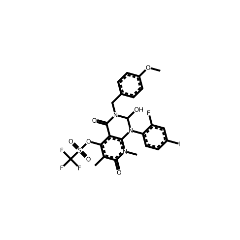 COc1ccc(CN2C(=O)c3c(OS(=O)(=O)C(F)(F)F)c(C)c(=O)n(C)c3N(c3ccc(I)cc3F)C2O)cc1